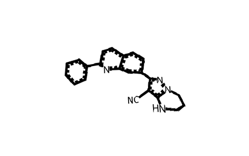 N#Cc1c(-c2ccc3ccc(-c4ccccc4)nc3c2)nn2c1NCCC2